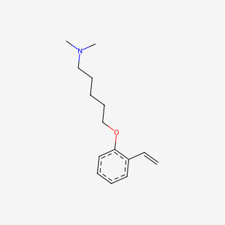 C=Cc1ccccc1OCCCCCN(C)C